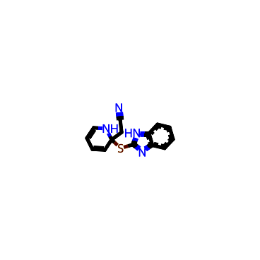 N#CCC1(Sc2nc3ccccc3[nH]2)C=CC=CN1